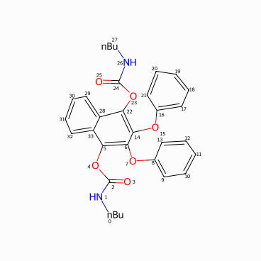 CCCCNC(=O)Oc1c(Oc2ccccc2)c(Oc2ccccc2)c(OC(=O)NCCCC)c2ccccc12